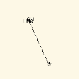 O=C(CCCCCCCCCCCCCCCCCCCCCCCCCCCCCBr)NO